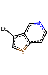 CCc1csc2ccncc12